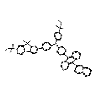 CCC(C)(C)c1ccc(N(c2ccc(-c3ccc4c(c3)C(C)(C)c3cc(C(C)(C)CC)ccc3-4)cc2)c2ccc(-c3c4ccccc4c(-c4ccc5ccccc5c4)c4ccccc34)cc2)cc1